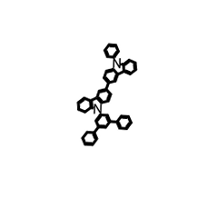 C1=CCCC(c2cc(-c3ccccc3)cc(-n3c4c(c5cc(-c6ccc7c(c6)c6ccccc6n7-c6ccccc6)ccc53)C=CCC4)c2)=C1